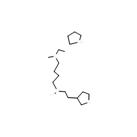 CCN(CCCCN(CC)CC[C@@H]1CCCN1)CCC1CCNC1